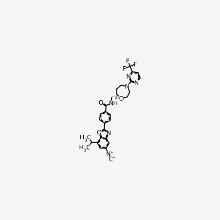 [C-]#[N+]c1cc(C(C)C)c2oc(-c3ccc(C(=O)NC[C@@H]4CCN(c5nccc(C(F)(F)F)n5)CCO4)cc3)nc2c1